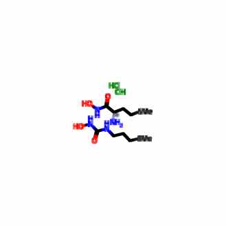 CSCCCNC(=O)NO.CSCC[C@H](N)C(=O)NO.Cl.Cl